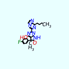 CCCCc1nc(-c2nc(O)c3c(n2)NC(=O)C3(C)c2ccc(F)cc2)cn2ccnc12